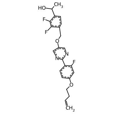 C=CCCOc1ccc(-c2ncc(OCc3ccc(C(C)O)c(F)c3F)cn2)c(F)c1